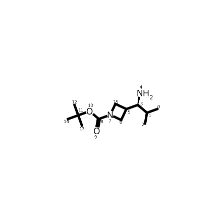 CC(C)[C@H](N)C1CN(C(=O)OC(C)(C)C)C1